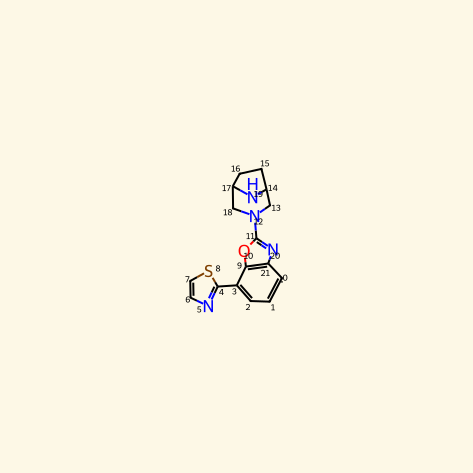 [c]1ccc(-c2nccs2)c2oc(N3CC4CCC(C3)N4)nc12